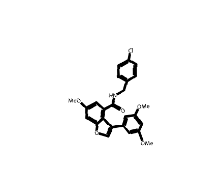 COc1cc(OC)cc(-c2coc3cc(OC)cc(C(=O)NCc4ccc(Cl)cc4)c23)c1